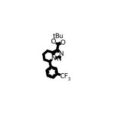 CC(C)(C)OC(=O)c1nnn2c1CCCC2c1cccc(C(F)(F)F)c1